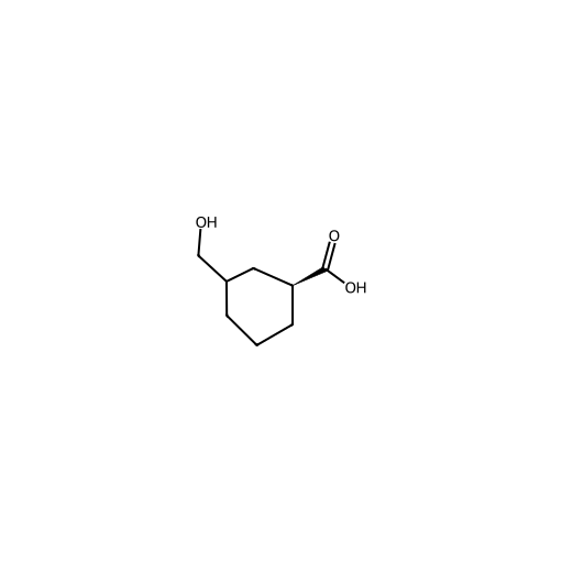 O=C(O)[C@H]1CCCC(CO)C1